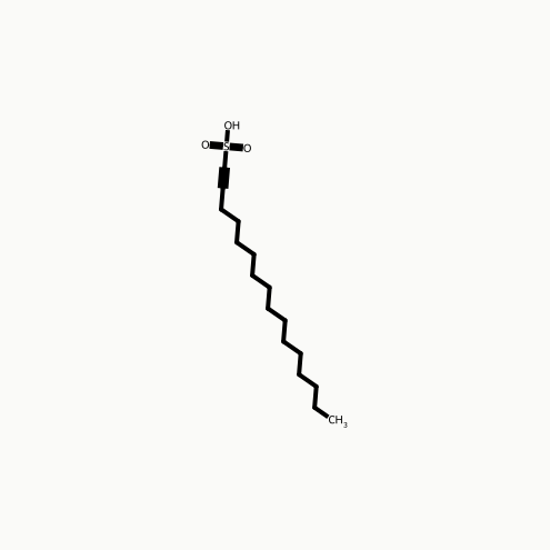 CCCCCCCCCCCCCCC#CS(=O)(=O)O